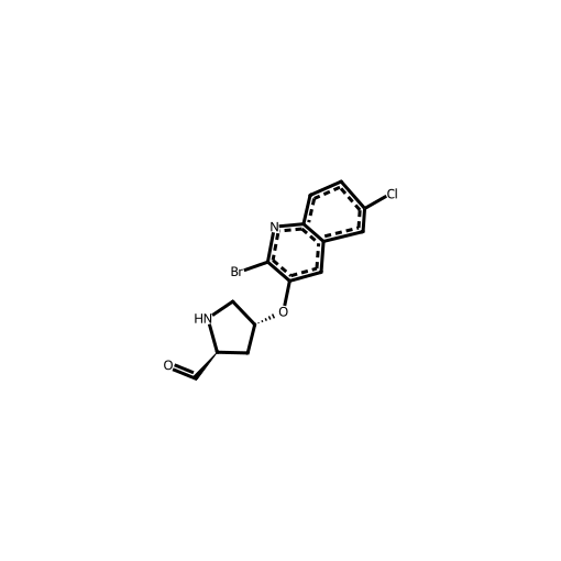 O=C[C@@H]1C[C@@H](Oc2cc3cc(Cl)ccc3nc2Br)CN1